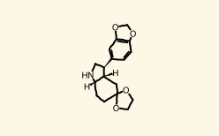 c1cc2c(cc1[C@@H]1CN[C@H]3CCC4(C[C@H]31)OCCO4)OCO2